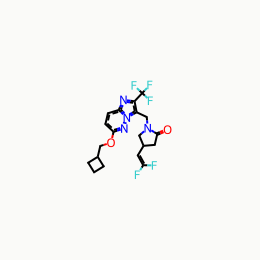 O=C1CC(C=C(F)F)CN1Cc1c(C(F)(F)F)nc2ccc(OCC3CCC3)nn12